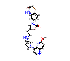 COc1ccc2nccc(N3CC[C@H](NCC[C@H]4CN(c5ccc6c(c5)NC(=O)CS6)C(=O)O4)C3)c2n1